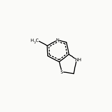 Cc1cc2c(cn1)NCS2